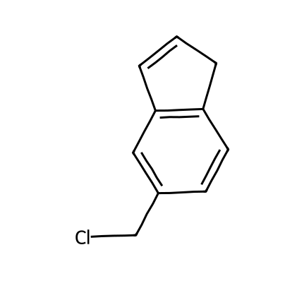 ClCc1ccc2c(c1)C=CC2